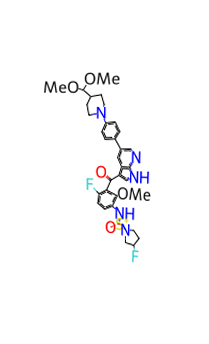 COc1c(N[S+]([O-])N2CCC(F)C2)ccc(F)c1C(=O)c1c[nH]c2ncc(-c3ccc(N4CCC(C(OC)OC)CC4)cc3)cc12